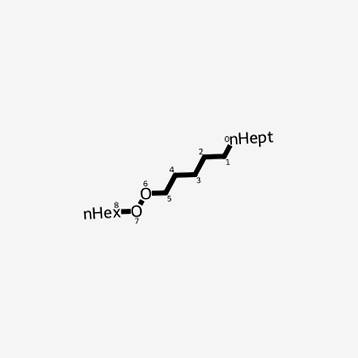 CCCCCCCCCCCCOOCCCCCC